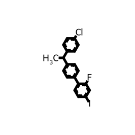 CC(c1ccc(Cl)cc1)c1ccc(-c2ccc(I)cc2F)cc1